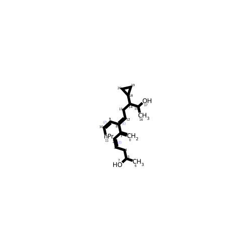 C=C(/C=C\CC(C)O)C(/C=C\CCC)=C/CC(C(C)O)C1CC1